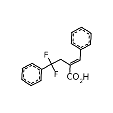 O=C(O)C(=Cc1ccccc1)CC(F)(F)c1ccccc1